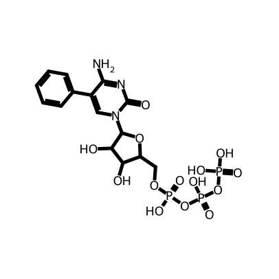 Nc1nc(=O)n(C2OC(COP(=O)(O)OP(=O)(O)OP(=O)(O)O)C(O)C2O)cc1-c1ccccc1